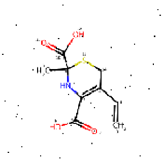 C=CC1=C(C(=O)O)NC(C)(C(=O)O)SC1